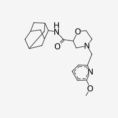 COc1cccc(CN2CCOC(C(=O)NC3C4CC5CC(C4)CC3C5)C2)n1